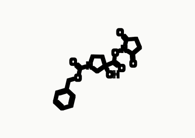 O=C(OCc1ccccc1)N1CCC(O)(C(=O)ON2C(=O)CCC2=O)C1